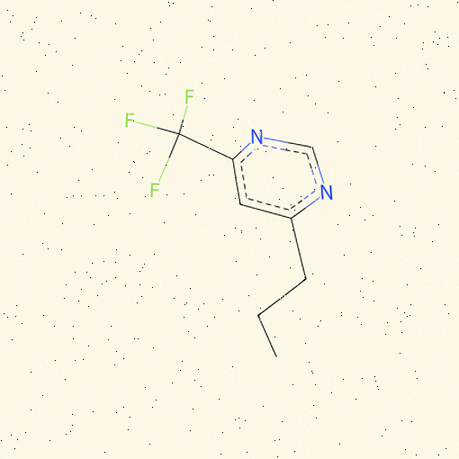 CCCc1cc(C(F)(F)F)ncn1